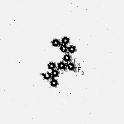 C=C/C=C\c1c(C)c2c3c4ccccc4n(-c4ccc(B(c5ccc(-n6c7ccccc7c7c8c9ccccc9n(-c9ccccc9)c8ccc76)cc5)c5c(C(F)(F)F)cc(C(F)(F)F)cc5C(F)(F)F)cc4)c3ccc2n1-c1ccccc1